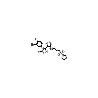 O=c1onc(-c2nonc2NCCCS(=O)(=O)N2CCCC2)n1-c1ccc(F)c(Br)c1